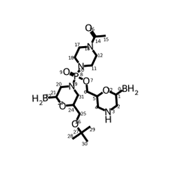 BC1CNCC(COP(=O)(N2CCN(C(C)=O)CC2)N2CC(B)OC(COC(C)(C)C)C2)O1